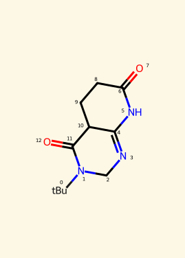 CC(C)(C)N1CN=C2NC(=O)CCC2C1=O